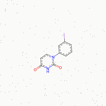 O=c1ccn(-c2cccc(I)c2)c(=O)[nH]1